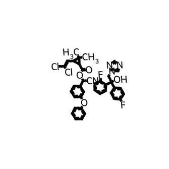 CC1(C)C(C=C(Cl)Cl)C1C(=O)OC(C#N)c1cccc(Oc2ccccc2)c1.OC(Cn1cncn1)(c1ccc(F)cc1)c1ccccc1F